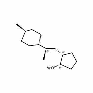 CC(=O)O[C@H]1CCC[C@H]1C[C@@H](C)[C@H]1CC[C@H](C)CC1